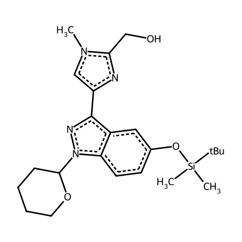 Cn1cc(-c2nn(C3CCCCO3)c3ccc(O[Si](C)(C)C(C)(C)C)cc23)nc1CO